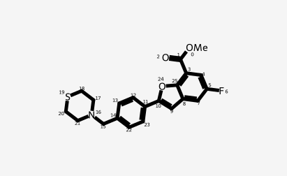 COC(=O)c1cc(F)cc2cc(-c3ccc(CN4CCSCC4)cc3)oc12